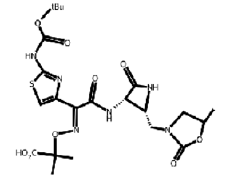 CC1CN(C[C@H]2NC(=O)[C@H]2NC(=O)C(=NOC(C)(C)C(=O)O)c2csc(NC(=O)OC(C)(C)C)n2)C(=O)O1